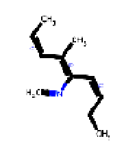 C=NC(/C=C\CC)=C(C)\C=C/C